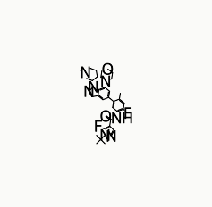 Cc1cc(F)c(NC(=O)c2cnn(C(C)(C)C)c2F)cc1-c1cc(N2CCOCC2)c2c(cnn2[C@H]2CCCN(C)C2)c1